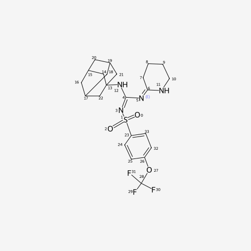 O=S(=O)(N=C(/N=C1\CCCCN1)NC12CC3CC(CC(C3)C1)C2)c1ccc(OC(F)(F)F)cc1